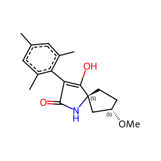 CO[C@H]1CC[C@@]2(C1)NC(=O)C(c1c(C)cc(C)cc1C)=C2O